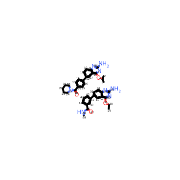 CC(C)Oc1nc(N)nc2ccc(-c3ccc(C(=O)N4CCCCC4)cc3)cc12.CCOc1nc(N)nc2ccc(-c3cccc(C(=O)NC)c3)cc12